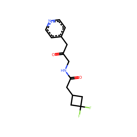 O=C(CNC(=O)CC1CC(F)(F)C1)Cc1ccncc1